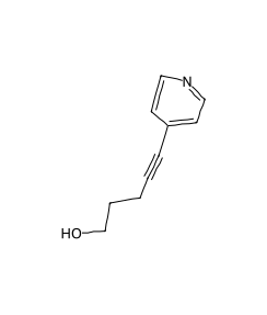 OCCCC#Cc1ccncc1